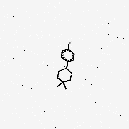 CC1(C)CCC(c2ccc(Br)cc2)CC1